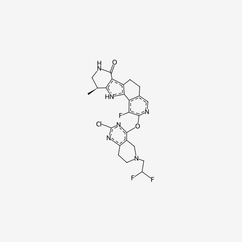 C[C@H]1CNC(=O)c2c1[nH]c1c2CCc2cnc(Oc3nc(Cl)nc4c3CN(CC(F)F)CC4)c(F)c2-1